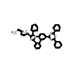 C=C(/C=C\C=C/C)c1nc2c3ccccc3c3cc(-c4nc(-c5ccccc5)nc(-c5ccccc5)n4)ccc3n2c1-c1ccccc1